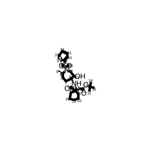 C[C@@H]1CC[C@H](NC(=O)C2(NC(=O)OC(C)(C)C)CCCCC2)[C@@H](O)CN1S(=O)(=O)c1ccccn1